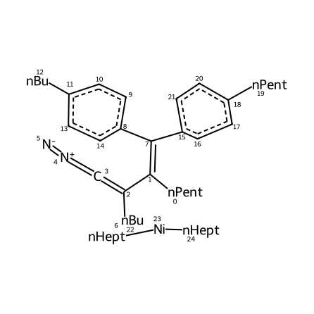 CCCCCC(C(=C=[N+]=[N-])CCCC)=C(c1ccc(CCCC)cc1)c1ccc(CCCCC)cc1.CCCCCC[CH2][Ni][CH2]CCCCCC